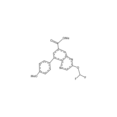 COC(=O)c1cc(-c2ccc(OC)cc2)c2ncc(OC(F)F)nc2c1